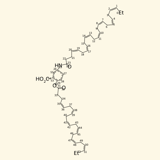 CC/C=C\C/C=C\C/C=C\C/C=C\C/C=C\C/C=C\C/C=C\CCC(=O)Nc1ccc(OC(=O)CC/C=C\C/C=C\C/C=C\C/C=C\C/C=C\C/C=C\CC)c(C(=O)O)c1